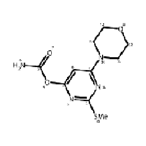 CSc1nc(OC(N)=O)cc(N2CCOCC2)n1